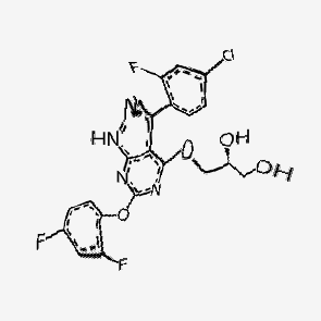 OC[C@H](O)COc1nc(Oc2ccc(F)cc2F)nc2[nH]nc(-c3ccc(Cl)cc3F)c12